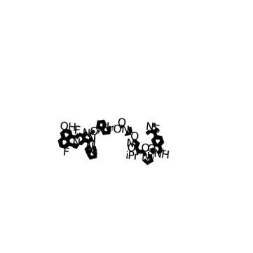 C#Cc1c(F)ccc2cc(O)cc(-c3ncc4c(N5CC6CCC(C5)N6)nc(OC[C@]56CCCN5[C@H](COC(=O)N5CC(Oc7cc([C@@H](C(=O)N8CCC[C@H]8C(=O)N[C@@H](C)c8ccc(-c9scnc9C)cc8)C(C)C)on7)C5)CC6)nc4c3F)c12